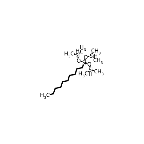 CCCCCCCCCC[Si](O[SiH](C)C)(O[SiH](C)C)O[SiH](C)C